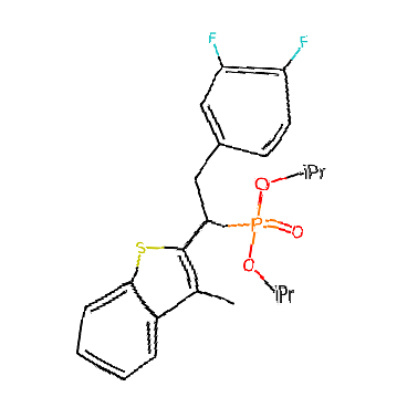 Cc1c(C(Cc2ccc(F)c(F)c2)P(=O)(OC(C)C)OC(C)C)sc2ccccc12